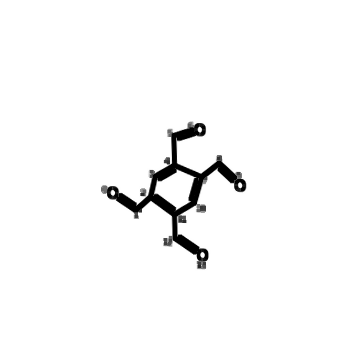 O=[C]c1cc([C]=O)c([C]=O)cc1[C]=O